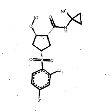 CCO[C@@H]1C[C@@H](S(=O)(=O)c2ccc(Br)cc2C(F)(F)F)C[C@H]1C(=O)NC1(C#N)CC1